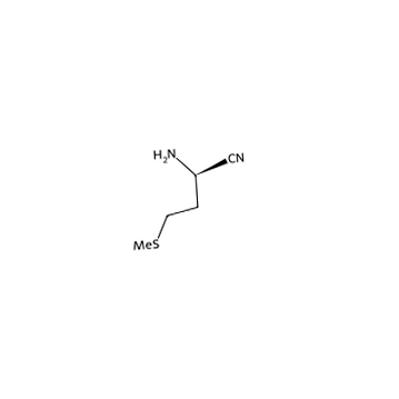 CSCC[C@@H](N)C#N